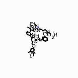 CC/N=C(/NCCCN(C)C)n1nc(C)c(-c2cccc3c(CCCOc4cc(C)c(Cl)c(C)c4)c(C(=O)NCc4cccc(C(=O)O)c4)[nH]c23)c1C